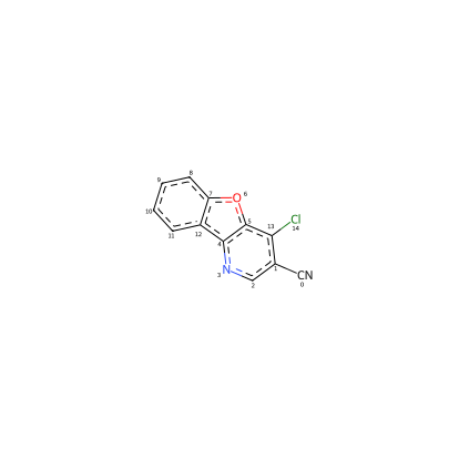 N#Cc1cnc2c(oc3ccccc32)c1Cl